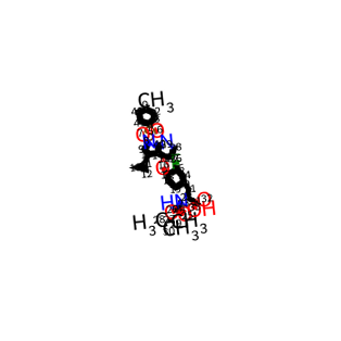 Cc1ccc(S(=O)(=O)n2cc(C3CC3)c3c(Oc4ccc(CC(NC(=O)OC(C)(C)C)C(=O)O)cc4F)ccnc32)cc1